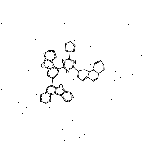 C1=CC2C=CC3=CC=C(c4nc(-c5ccccc5)nc(-c5cc(-c6cc7ccccc7c7c6oc6ccccc67)cc6oc7ccccc7c56)n4)CC3C2C=C1